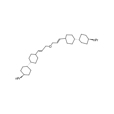 CCC[C@H]1CC[C@H](C2CCC(/C=C/COC/C=C/C3CCC([C@H]4CC[C@H](CCC)CC4)CC3)CC2)CC1